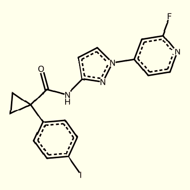 O=C(Nc1ccn(-c2ccnc(F)c2)n1)C1(c2ccc(I)cc2)CC1